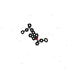 c1ccc(N(c2ccc(C3CCCCC3)cc2)c2ccc3cc4c(cc3c2)C2(c3ccccc3-c3ccccc32)c2c-4ccc3cc(N(c4ccccc4)c4ccc(C5CCCCC5)cc4)ccc23)cc1